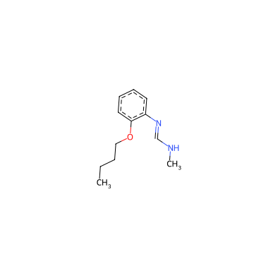 CCCCOc1ccccc1N=CNC